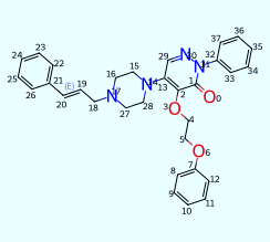 O=c1c(OCCOc2ccccc2)c(N2CCN(C/C=C/c3ccccc3)CC2)cnn1-c1ccccc1